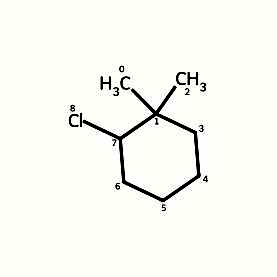 CC1(C)CCCCC1Cl